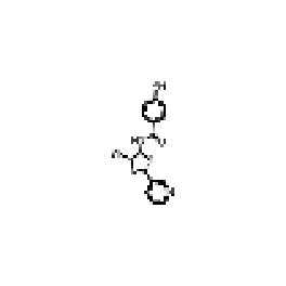 O=C(NC1SC(c2cccnc2)=NC1Cl)c1ccc(S)cc1